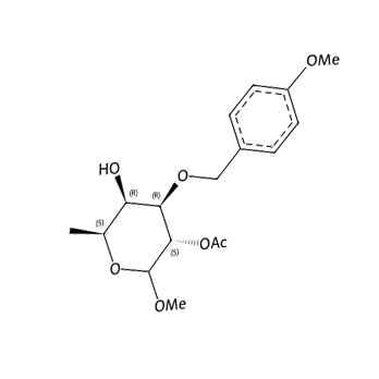 COc1ccc(CO[C@@H]2[C@H](O)[C@H](C)OC(OC)[C@H]2OC(C)=O)cc1